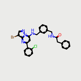 O=C(Cc1ccccc1)NCc1cccc(CNc2cc(-c3ccccc3Cl)nc3c(Br)cnn23)c1